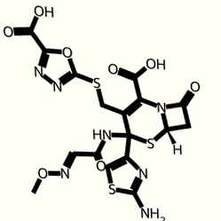 CON=CC(=O)NC1(c2csc(N)n2)S[C@H]2CC(=O)N2C(C(=O)O)=C1CSc1nnc(C(=O)O)o1